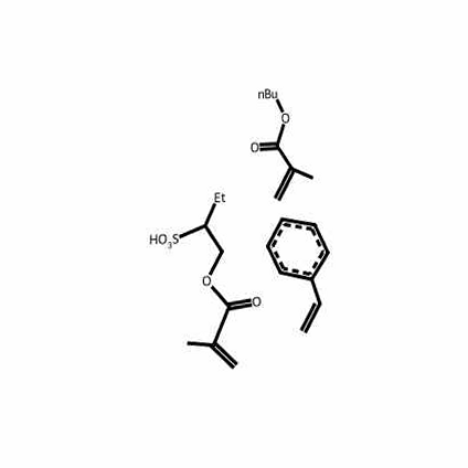 C=C(C)C(=O)OCC(CC)S(=O)(=O)O.C=C(C)C(=O)OCCCC.C=Cc1ccccc1